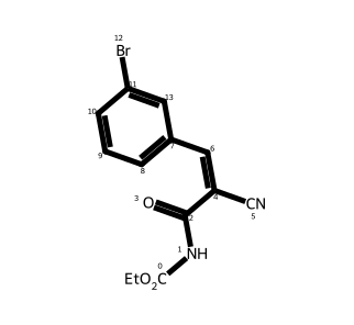 CCOC(=O)NC(=O)C(C#N)=Cc1cccc(Br)c1